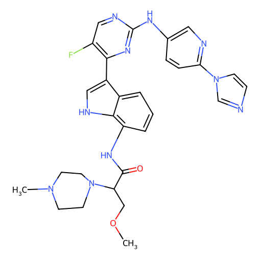 COCC(C(=O)Nc1cccc2c(-c3nc(Nc4ccc(-n5ccnc5)nc4)ncc3F)c[nH]c12)N1CCN(C)CC1